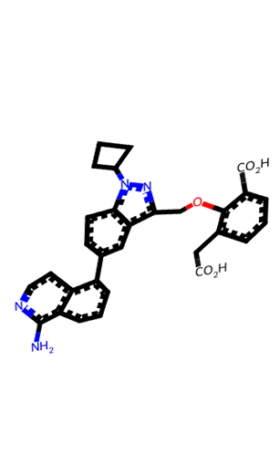 Nc1nccc2c(-c3ccc4c(c3)c(COc3c(CC(=O)O)cccc3C(=O)O)nn4C3CCC3)cccc12